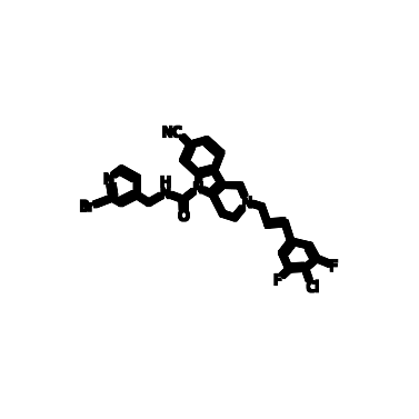 N#Cc1ccc2c3c(n(C(=O)NCc4ccnc(Br)c4)c2c1)CCN(C/C=C/c1cc(F)c(Cl)c(F)c1)C3